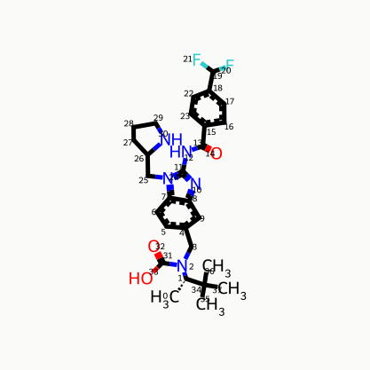 C[C@H](N(Cc1ccc2c(c1)nc(NC(=O)c1ccc(C(F)F)cc1)n2CC1CCCN1)C(=O)O)C(C)(C)C